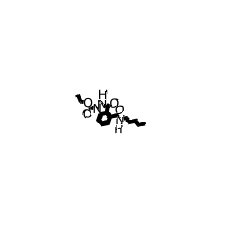 CCCCCNC(=O)c1cccc2c1c(=O)[nH]n2C(=O)OCC